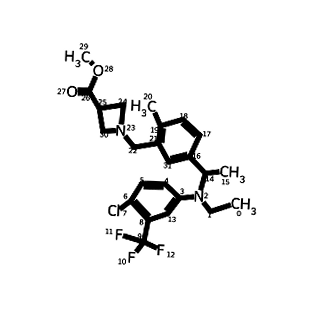 CCN(c1ccc(Cl)c(C(F)(F)F)c1)C(C)c1ccc(C)c(CN2CC(C(=O)OC)C2)c1